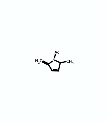 C=C1C=CC(C)N1C(C)=O